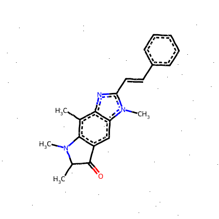 Cc1c2c(cc3c1nc(C=Cc1ccccc1)n3C)C(=O)C(C)N2C